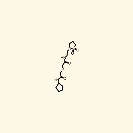 O=C(CSCC(=O)NC1CCCC1)NCCN1CCCS1(=O)=O